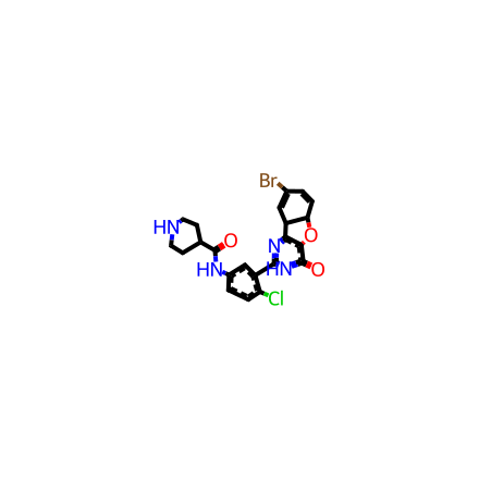 O=C(Nc1ccc(Cl)c(-c2nc3c(c(=O)[nH]2)OC2C=CC(Br)=CC32)c1)C1CCNCC1